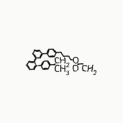 C=CC(=O)OCCCCc1ccc(-c2cccc(-c3ccccc3-c3ccc(C(=C)C)cc3)c2)cc1